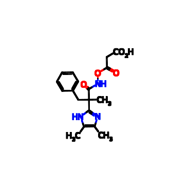 Cc1nc(C(C)(Cc2ccccc2)C(=O)NOC(=O)CC(=O)O)[nH]c1C